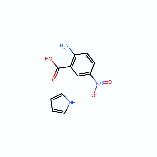 Nc1ccc([N+](=O)[O-])cc1C(=O)O.c1cc[nH]c1